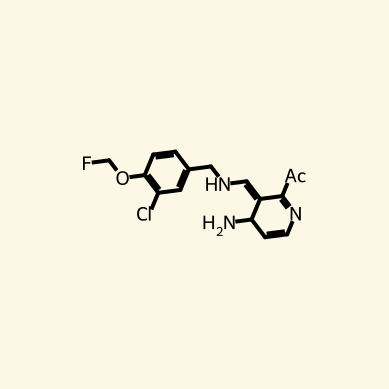 CC(=O)C1=NC=CC(N)/C1=C\NCc1ccc(OCF)c(Cl)c1